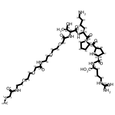 CC(=O)SCC(=O)NCCOCCOCC(=O)NCCOCCOCC(=O)N[C@H](C(=O)N[C@@H](CCCCN)C(=O)N1CCC[C@H]1C(=O)C1CC[C@@H](C(=O)N[C@@H](CCCNC(=N)N)C(=O)O)N1)[C@@H](C)O